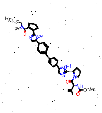 C=C(C)[C@H](NC(=O)OC)C(=O)N1CCC[C@H]1c1ncc(-c2ccc(-c3ccc(-c4cnc(C5=C(C(=O)N(CC(=O)O)C(C)C)CCC5)[nH]4)cc3)cc2)[nH]1